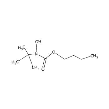 CCCCOC(=O)N(O)C(C)(C)C